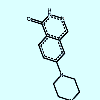 O=c1[nH]ncc2cc(N3CCNCC3)ccc12